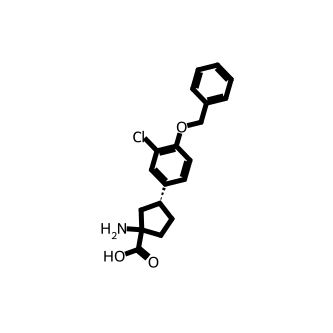 NC1(C(=O)O)CC[C@@H](c2ccc(OCc3ccccc3)c(Cl)c2)C1